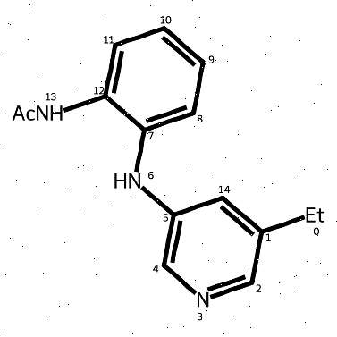 CCc1cncc(Nc2ccccc2NC(C)=O)c1